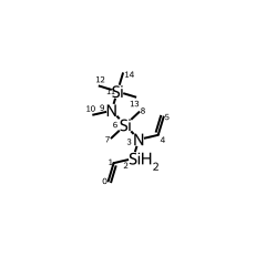 C=C[SiH2]N(C=C)[Si](C)(C)N(C)[Si](C)(C)C